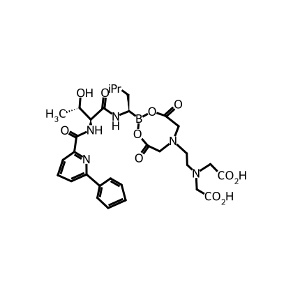 CC(C)C[C@H](NC(=O)[C@@H](NC(=O)c1cccc(-c2ccccc2)n1)[C@H](C)O)B1OC(=O)CN(CCN(CC(=O)O)CC(=O)O)CC(=O)O1